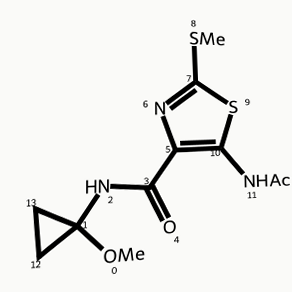 COC1(NC(=O)c2nc(SC)sc2NC(C)=O)CC1